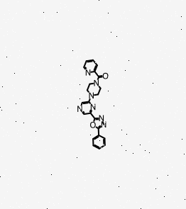 O=C(c1ccccn1)N1CCN(c2cncc(-c3nnc(-c4ccccc4)o3)n2)CC1